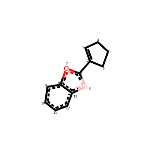 b1c(C2=CCCC2)oc2ccccc12